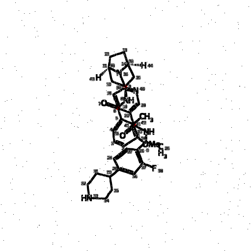 COc1cccc(C(=O)N[C@H]2C[C@H]3CC[C@@H](C2)N3c2ccc(C(=O)NC(C)c3ccc(C4CCNCC4)cc3F)cn2)c1C